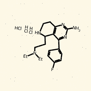 CCN(CC)CCC1NCCc2nc(N)nc(-c3ccc(F)cc3)c21.Cl.Cl.Cl